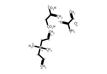 C=C(CC(=O)O)C(=O)O.C=CC(N)=O.C=CC[N+](C)(C)CC=C.[Cl-]